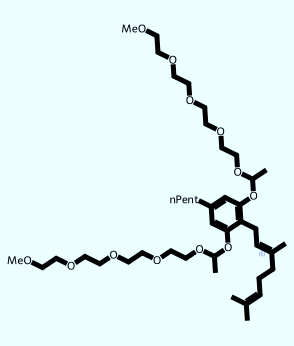 CCCCCc1cc(OC(C)OCCOCCOCCOCCOC)c(C/C=C(\C)CCC=C(C)C)c(OC(C)OCCOCCOCCOCCOC)c1